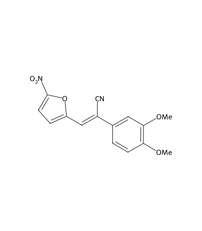 COc1ccc(/C(C#N)=C/c2ccc([N+](=O)[O-])o2)cc1OC